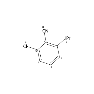 [CH2]C(C)c1cccc(Cl)c1C#N